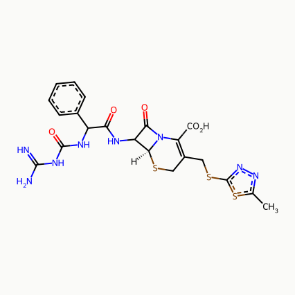 Cc1nnc(SCC2=C(C(=O)O)N3C(=O)C(NC(=O)C(NC(=O)NC(=N)N)c4ccccc4)[C@@H]3SC2)s1